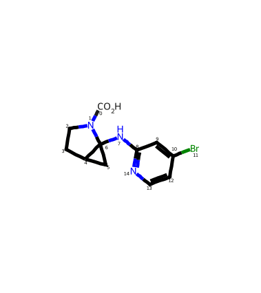 O=C(O)N1CCC2CC21Nc1cc(Br)ccn1